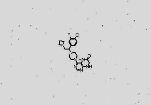 O=C1CNc2ncnc(N3CCN(C(CN4CCC4)c4ccc(Cl)c(F)c4)CC3)c2N1